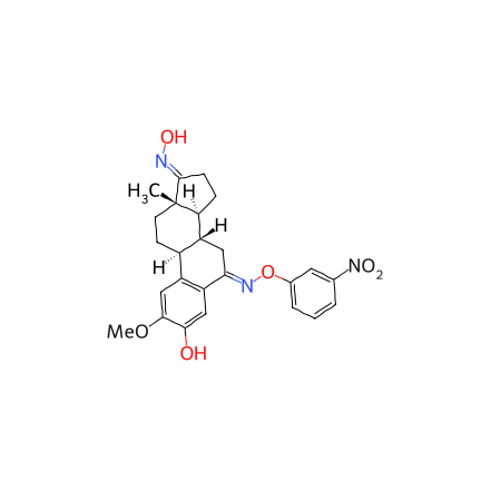 COc1cc2c(cc1O)C(=NOc1cccc([N+](=O)[O-])c1)C[C@@H]1[C@@H]2CC[C@]2(C)C(=NO)CC[C@@H]12